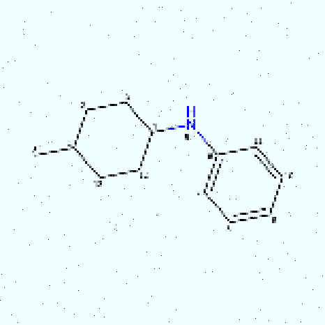 CC1CCC(Nc2ccccc2)CC1